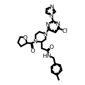 Cc1ccc(CNC(=O)CC2CN(c3cc(Cl)nc(-n4ccnc4)n3)CCN2C(=O)C2CCCO2)cc1